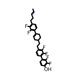 C/C=C/CCc1ccc(C2=CCC(CCc3ccc(-c4ccc(O)c(F)c4F)c(F)c3F)CC2)c(F)c1F